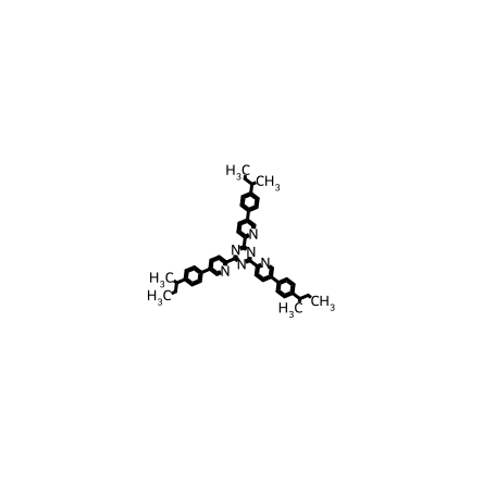 CCC(C)c1ccc(-c2ccc(-c3nc(-c4ccc(-c5ccc(C(C)CC)cc5)cn4)nc(-c4ccc(-c5ccc(C(C)CC)cc5)cn4)n3)nc2)cc1